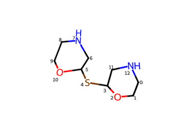 C1COC(SC2CNCCO2)CN1